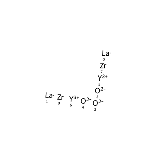 [La].[La].[O-2].[O-2].[O-2].[Y+3].[Y+3].[Zr].[Zr]